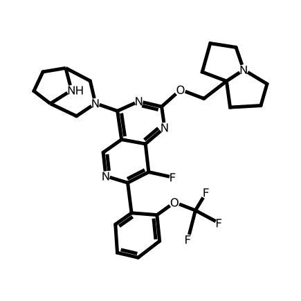 Fc1c(-c2ccccc2OC(F)(F)F)ncc2c(N3CC4CCC(C3)N4)nc(OCC34CCCN3CCC4)nc12